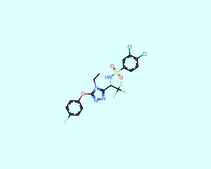 CCn1c(Oc2ccc(F)cc2)nnc1[C@H](NS(=O)(=O)c1ccc(Cl)c(Cl)c1)C(F)(F)F